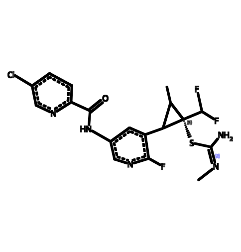 C/N=C(/N)S[C@@]1(C(F)F)C(C)C1c1cc(NC(=O)c2ccc(Cl)cn2)cnc1F